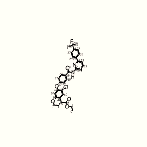 CCOC(=O)C1CCOc2cc(Oc3ccc(C(=O)Nc4nccc(-c5ccc(C(F)(F)F)cc5)n4)cc3)c(Cl)cc21